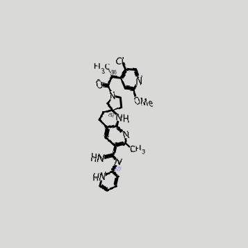 COc1cc([C@@H](C)C(=O)N2CC[C@@]3(CCc4cc(C(=N)/N=c5/cccc[nH]5)c(C)nc4N3)C2)c(Cl)cn1